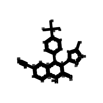 Cc1cc(-c2c(-c3ccc(C(C)(C)C)cc3)c3cc(C#N)ccc3[nH]c2=O)on1